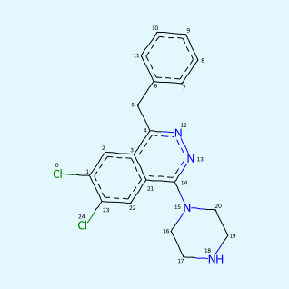 Clc1cc2c(Cc3ccccc3)nnc(N3CCNCC3)c2cc1Cl